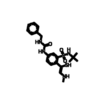 CN/C=C(\S)c1ccc(NC(=O)NCc2ccccc2)cc1S(=O)(=O)NC(C)(C)C